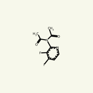 CC(=O)N(C(C)=O)c1nccc(I)c1F